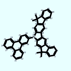 CC1(C)c2ccccc2-c2cc3c4cc5c(cc4n(-c4ccc6c7ccccc7c7ccccc7c6c4)c3cc21)C(C)(C)c1ccccc1-5